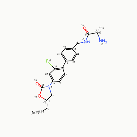 CC(=O)NC[C@H]1CN(c2ccc(-c3ccc(CNC(=O)[C@H](C)N)cc3)c(F)c2)C(=O)O1